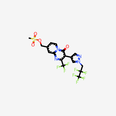 CS(=O)(=O)OCc1ccn2c(=O)c(-c3cnn(CC(F)(F)C(F)(F)F)c3)c(C(F)(F)F)nc2c1